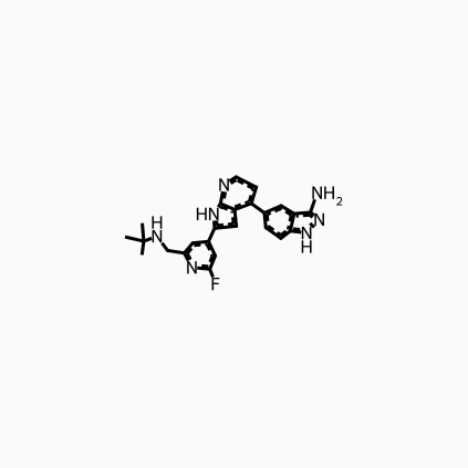 CC(C)(C)NCc1cc(-c2cc3c(-c4ccc5[nH]nc(N)c5c4)ccnc3[nH]2)cc(F)n1